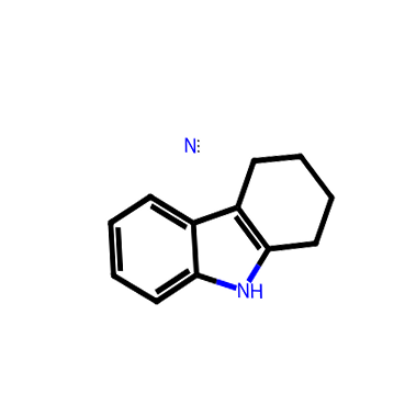 [N].c1ccc2c3c([nH]c2c1)CCCC3